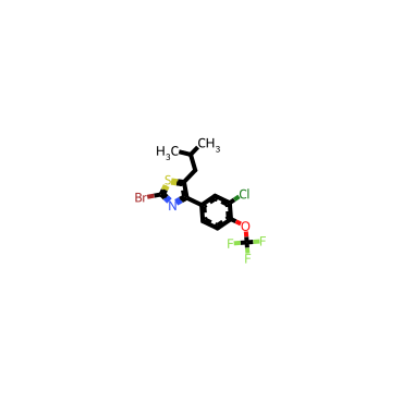 CC(C)Cc1sc(Br)nc1-c1ccc(OC(F)(F)F)c(Cl)c1